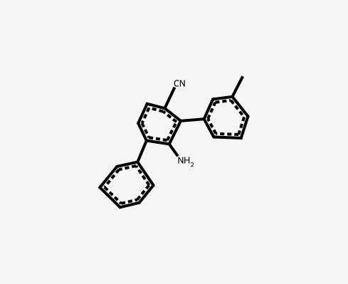 Cc1cccc(-c2c(C#N)ccc(-c3ccccc3)c2N)c1